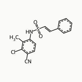 Cc1c(NS(=O)(=O)C=Cc2ccccc2)ccc(C#N)c1Cl